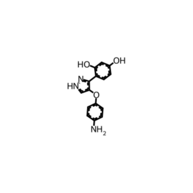 Nc1ccc(Oc2c[nH]nc2-c2ccc(O)cc2O)cc1